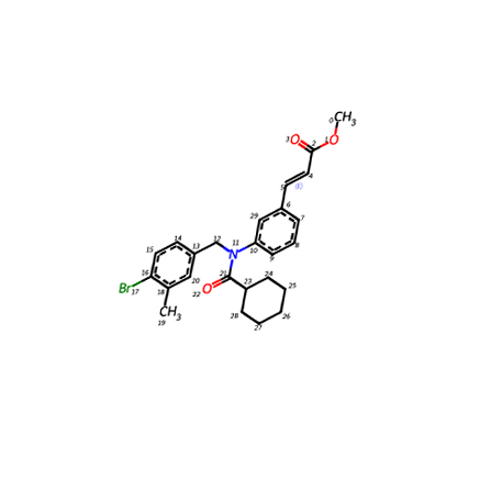 COC(=O)/C=C/c1cccc(N(Cc2ccc(Br)c(C)c2)C(=O)C2CCCCC2)c1